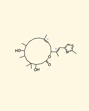 C/C1=C/CC(/C(C)=C/c2csc(C)n2)OC(=O)CC(O)C(C)(C)CC(C)C(O)C(C)CCC1